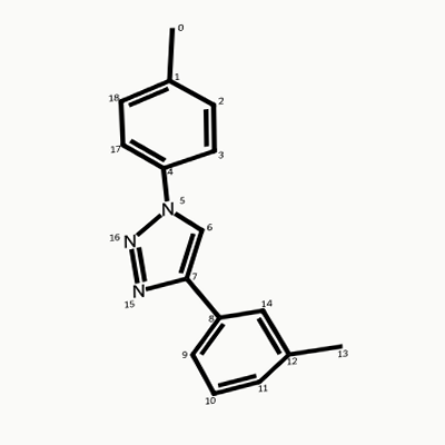 Cc1ccc(-n2cc(-c3cccc(C)c3)nn2)cc1